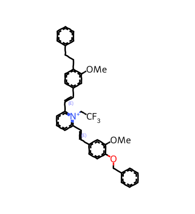 COc1cc(/C=C/c2cccc(/C=C/c3ccc(OCc4ccccc4)c(OC)c3)[n+]2CC(F)(F)F)ccc1CCc1ccccc1